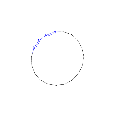 C1CCCCCCCN=NN=NCCCCCCC1